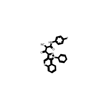 N#CC(C(=O)Nc1ccc(F)cc1)C(=O)c1nn(C2C=CCC=C2)c2c1=CSC1=CC=CCC=21